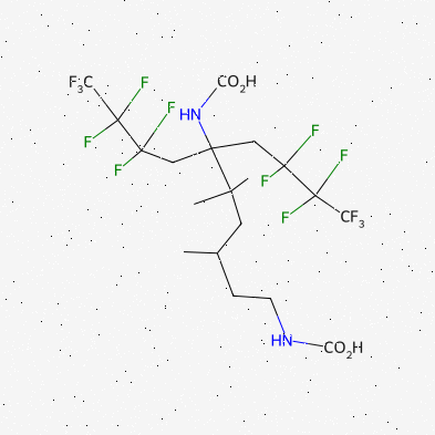 CC(CCNC(=O)O)CC(C)(C)C(CC(F)(F)C(F)(F)C(F)(F)F)(CC(F)(F)C(F)(F)C(F)(F)F)NC(=O)O